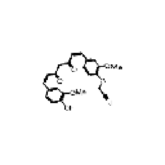 C#CCOc1ccc(/C=C\C(=O)CC(=O)/C=C\c2ccc(O)c(OC)c2)cc1OC